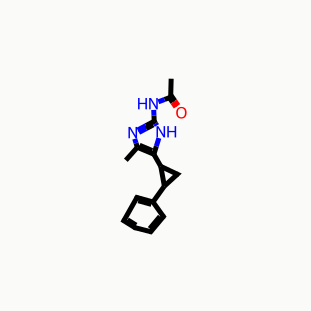 CC(=O)Nc1nc(C)c(C2CC2c2ccccc2)[nH]1